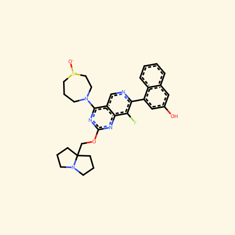 [O-][S+]1CCCN(c2nc(OCC34CCCN3CCC4)nc3c(F)c(-c4cc(O)cc5ccccc45)ncc23)CC1